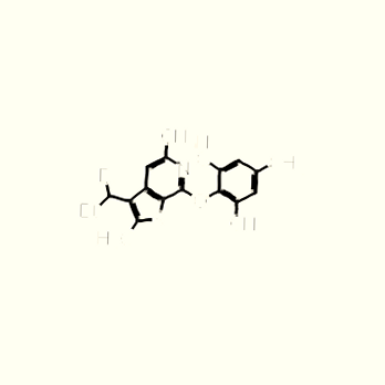 CCC(CC)c1c(C)sc2c(Oc3c(C)cc(C)cc3C)nc(C)cc12